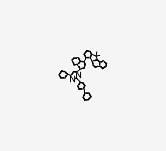 CC1(C)c2cccc(-c3ccc(-c4cc(-c5ccccc5)nc(-c5ccc(-c6ccccc6)cc5)n4)c4ccccc34)c2-c2ccc3ccccc3c21